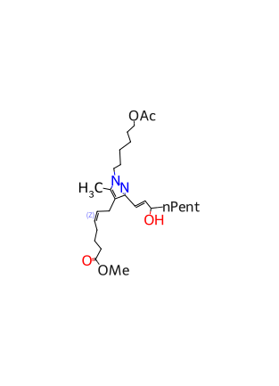 CCCCCC(O)C=Cc1nn(CCCCCCOC(C)=O)c(C)c1C/C=C\CCCC(=O)OC